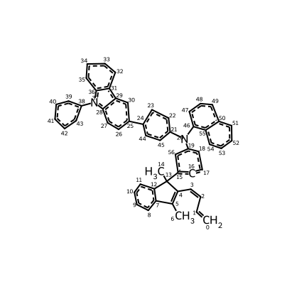 C=C/C=C\C1=C(C)c2ccccc2C1(C)c1cccc(N(c2ccc(-c3ccc4c(c3)c3ccccc3n4-c3ccccc3)cc2)c2cccc3ccccc23)c1